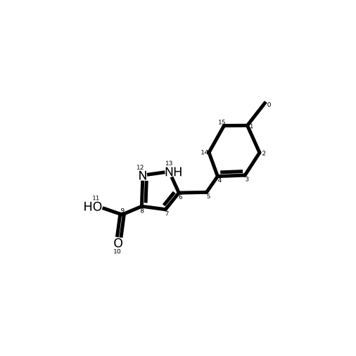 CC1CC=C(Cc2cc(C(=O)O)n[nH]2)CC1